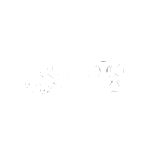 COC1C(=O)C(C)=C(CCCCCCCCCC[PH](c2ccccc2)(c2ccccc2)c2ccccc2)C(=O)C1OC